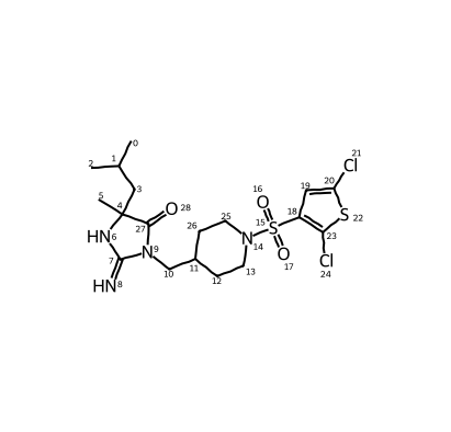 CC(C)CC1(C)NC(=N)N(CC2CCN(S(=O)(=O)c3cc(Cl)sc3Cl)CC2)C1=O